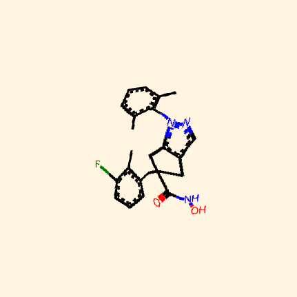 Cc1cccc(C)c1-n1ncc2c1CC(C(=O)NO)(c1cccc(F)c1C)C2